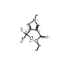 CCOC(=O)c1cn(C)nc1C(F)(F)Cl